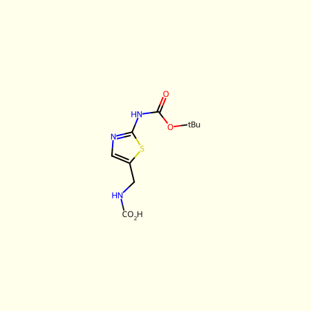 CC(C)(C)OC(=O)Nc1ncc(CNC(=O)O)s1